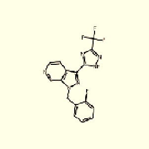 Fc1ccccc1Cn1nc(-c2nc(C(F)(F)F)n[nH]2)c2ccncc21